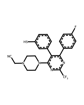 N#CCN1CCN(c2nc(C(F)(F)F)nc(-c3ccc(F)cc3)c2-c2cccc(S)c2)CC1